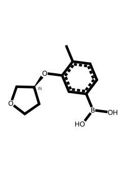 Cc1ccc(B(O)O)cc1O[C@H]1CCOC1